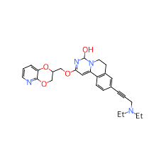 CCN(CC)CC#Cc1ccc2c(c1)CCN1C2=CC(OCC2COc3ncccc3O2)=NC1O